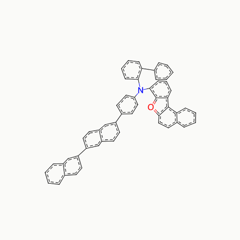 c1ccc(-c2ccccc2N(c2ccc(-c3ccc4cc(-c5ccc6ccccc6c5)ccc4c3)cc2)c2cccc3c2oc2ccc4ccccc4c23)cc1